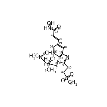 CN(C)CC(C)(C)Cn1c(CCS(C)(=O)=O)nc2cc(/C=C/C(=O)NO)ccc21